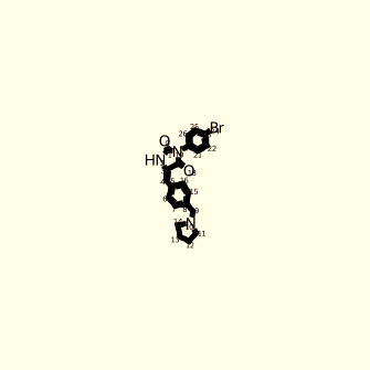 O=C1N/C(=C/c2ccc(CN3CCCC3)cc2)C(=O)N1c1ccc(Br)cc1